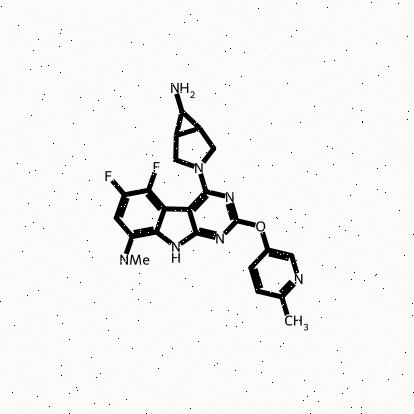 CNc1cc(F)c(F)c2c1[nH]c1nc(Oc3ccc(C)nc3)nc(N3CC4C(N)C4C3)c12